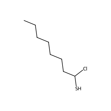 CCCCCCCC(S)Cl